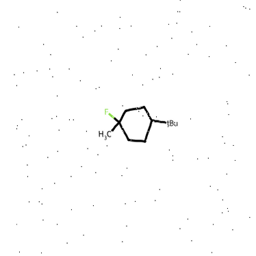 CC1(F)CCC(C(C)(C)C)CC1